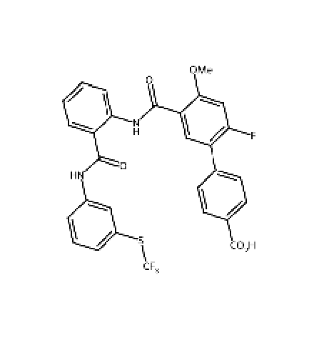 COc1cc(F)c(-c2ccc(C(=O)O)cc2)cc1C(=O)Nc1ccccc1C(=O)Nc1cccc(SC(F)(F)F)c1